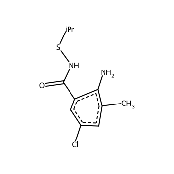 Cc1cc(Cl)cc(C(=O)NSC(C)C)c1N